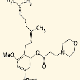 CCCCCc1cc(OC)c(CC=C(C)CCC=C(C)C)c(OC(=O)CCN2CCOCC2)c1